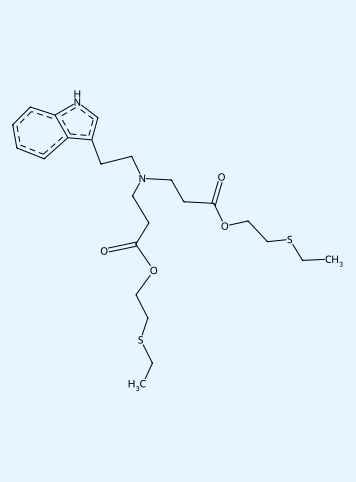 CCSCCOC(=O)CCN(CCC(=O)OCCSCC)CCc1c[nH]c2ccccc12